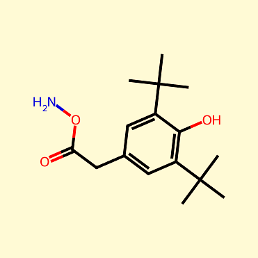 CC(C)(C)c1cc(CC(=O)ON)cc(C(C)(C)C)c1O